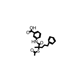 CC(=O)SC(C)(CCCc1ccccc1)C(=O)Nc1cccc(C(=O)O)c1